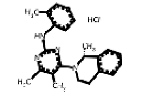 Cc1ccccc1Nc1nc(C)c(C)c(N2CCc3ccccc3[C@H]2C)n1.Cl